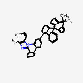 C/C=C\c1c(C)nc2c3ccccc3c3ccc(-c4cccc5c4-c4ccccc4C54c5ccccc5C(C)(C)c5ccccc54)cc3n12